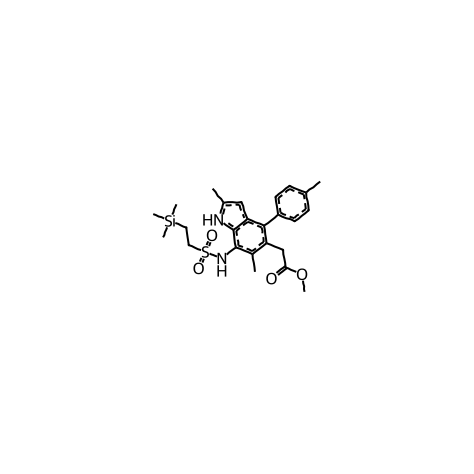 COC(=O)Cc1c(C)c(NS(=O)(=O)CC[Si](C)(C)C)c2[nH]c(C)cc2c1-c1ccc(C)cc1